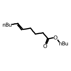 CCCC/C=C/CCCC(=O)OCCCC